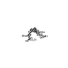 CCOCCC(=O)[C@H](CO)NCc1cnc(C(=O)Nc2cccc(-c3cccc(/C=C(\F)c4cc(OC)c(CN[C@@H](CO)C(=O)OCC)cn4)c3C)c2C)cc1OC